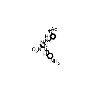 CC(=O)N(C)c1cccc(CNc2ncc([N+](=O)[O-])c(NCC3CCC(N)CC3)n2)c1